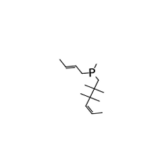 C/C=C\C(C)(C)C(C)(C)CP(C)C/C=C/C